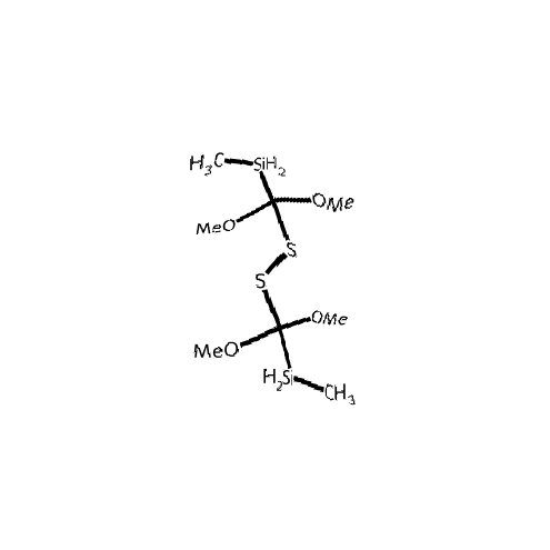 COC(OC)([SiH2]C)SSC(OC)(OC)[SiH2]C